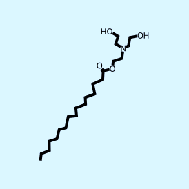 CCCCCCCCCCCCCCCC(=O)OCCN(CCO)CCO